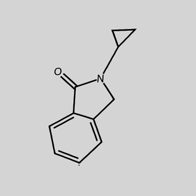 O=C1c2cc[c]cc2CN1C1CC1